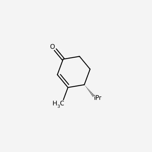 CC1=CC(=O)CC[C@@H]1C(C)C